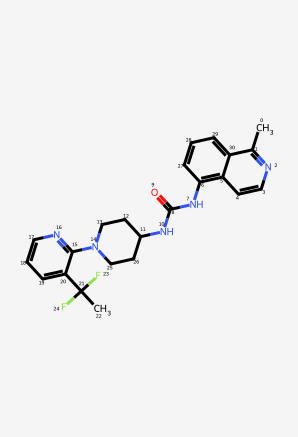 Cc1nccc2c(NC(=O)NC3CCN(c4ncccc4C(C)(F)F)CC3)cccc12